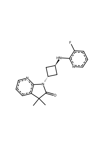 CC1(C)C(=O)N([C@H]2C[C@H](Nc3ncccc3F)C2)c2ncccc21